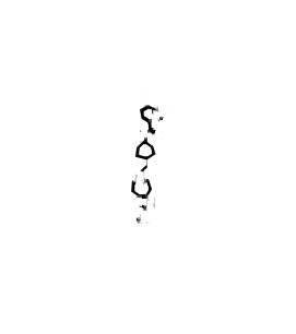 Cn1c(C(=O)N[C@H]2CC[C@H](CCN3CCc4nc(OCC(F)(F)F)sc4CC3)CC2)ccc(F)c1=O